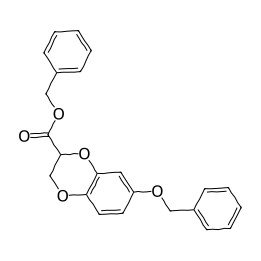 O=C(OCc1ccccc1)C1COc2ccc(OCc3ccccc3)cc2O1